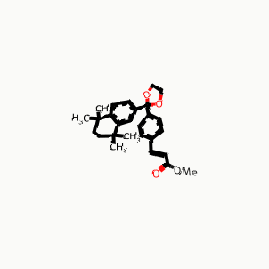 COC(=O)/C=C/c1ccc(C2(c3ccc4c(c3)C(C)(C)CCC4(C)C)OCCO2)cc1